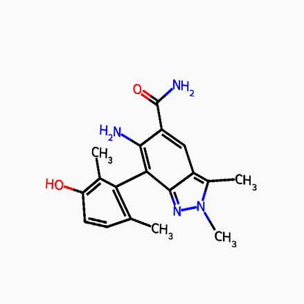 Cc1ccc(O)c(C)c1-c1c(N)c(C(N)=O)cc2c(C)n(C)nc12